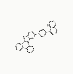 c1cnc2c(-c3ccc(-c4ccc5nc6c7ccccc7c7ccccc7n6c5c4)cc3)cccc2c1